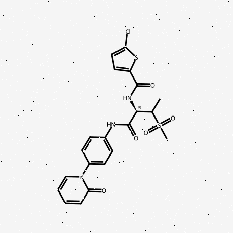 CC([C@H](NC(=O)c1ccc(Cl)s1)C(=O)Nc1ccc(-n2ccccc2=O)cc1)S(C)(=O)=O